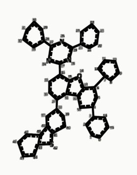 c1ccc(-c2cc(-c3ccccc3)c3oc4c(-c5nc(-c6ccccc6)nc(-c6ccccc6)n5)ccc(-c5ccc6sc7ccccc7c6c5)c4c3c2)cc1